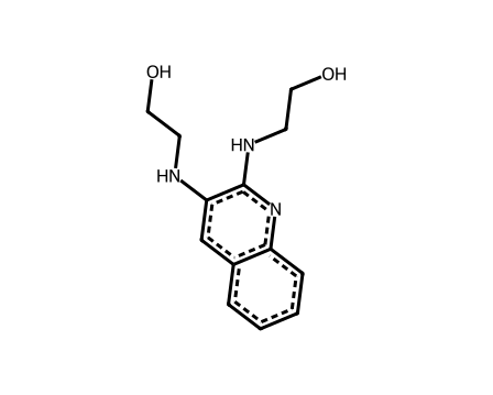 OCCNc1cc2ccccc2nc1NCCO